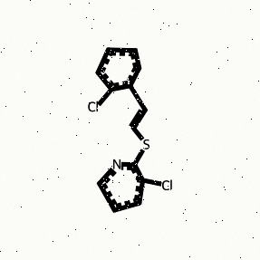 Clc1ccccc1/C=C/Sc1ncccc1Cl